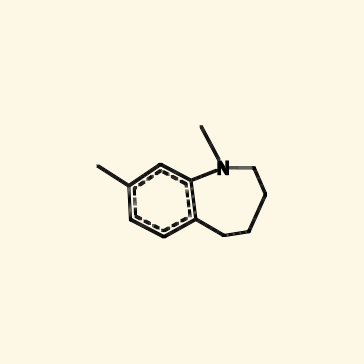 Cc1ccc2c(c1)N(C)CCCC2